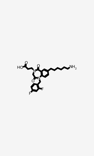 NCCCCCCc1ccc2c(c1)C(=O)N(CCC(=O)O)CC(=O)N2Cc1ccc(F)cc1F